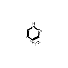 C1=CNOC=C1.O